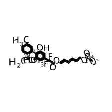 C=C(C)[C@@H]1CCC(C)=C[C@H]1c1c(O)cc(C(F)(F)C(=O)OCCCCCCO[N+](=O)[O-])cc1O